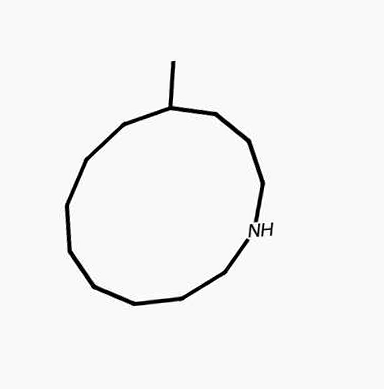 CC1CCCCCCCCNCCC1